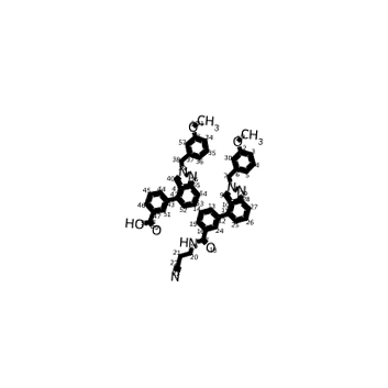 COc1cccc(Cn2cc3c(-c4cccc(C(=O)NCCC#N)c4)cccc3n2)c1.COc1cccc(Cn2cc3c(-c4cccc(C(=O)O)c4)cccc3n2)c1